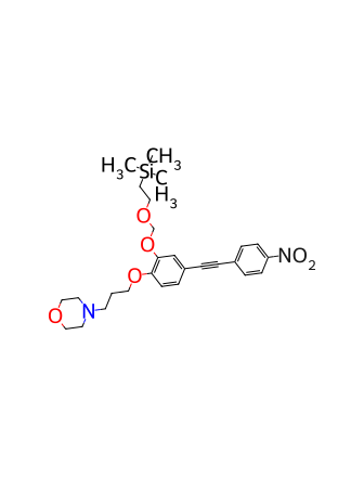 C[Si](C)(C)CCOCOc1cc(C#Cc2ccc([N+](=O)[O-])cc2)ccc1OCCCN1CCOCC1